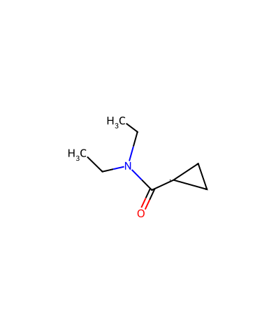 CCN(CC)C(=O)[C]1CC1